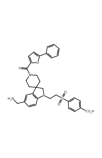 NCc1ccc2c(c1)C1(CCN(C(=O)c3ccc(-c4ccccc4)o3)CC1)CN2CCS(=O)(=O)c1ccc(C(=O)O)cc1